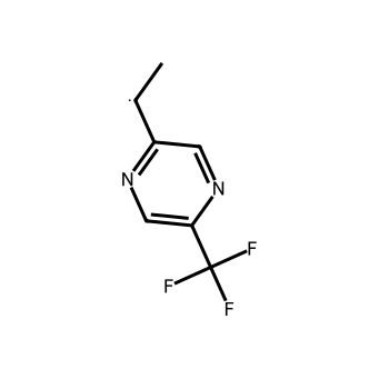 C[CH]c1cnc(C(F)(F)F)cn1